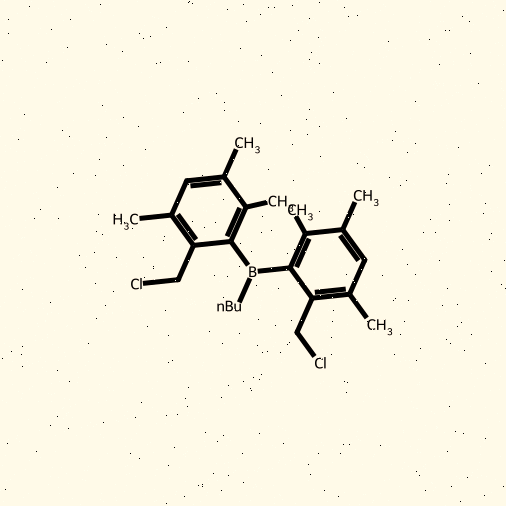 CCCCB(c1c(C)c(C)cc(C)c1CCl)c1c(C)c(C)cc(C)c1CCl